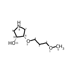 COCCCO[C@H]1CNC[C@H]1O